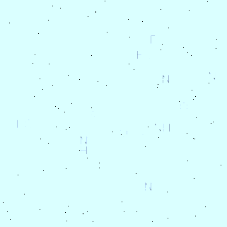 Cc1ccc2c(c1)NC(C=Cc1cnccc1C(=O)NCC(=O)N1CC(F)(F)CC1C#N)S2